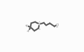 FC1(F)CCN(CCCCCl)CC1